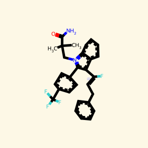 CC(C)(Cn1c(-c2ccc(C(F)(F)F)cc2)c(/C(F)=C/Cc2ccccc2)c2ccccc21)C(N)=O